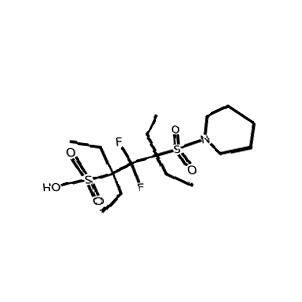 CCC(CC)(C(F)(F)C(CC)(CC)S(=O)(=O)N1CCCCC1)S(=O)(=O)O